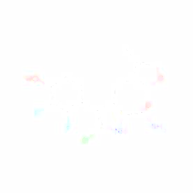 Cc1coc(C)c1Cc1c(C(N)=O)[nH]c(Cl)c1-c1ccc(O)c(F)c1F